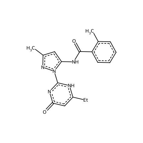 CCc1cc(=O)nc(-n2nc(C)cc2NC(=O)c2ccccc2C)[nH]1